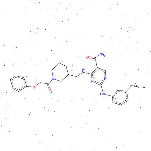 CC(=O)Nc1cccc(Nc2ncc(C(N)=O)c(NCC3CCCN(C(=O)COc4ccccc4)C3)n2)c1